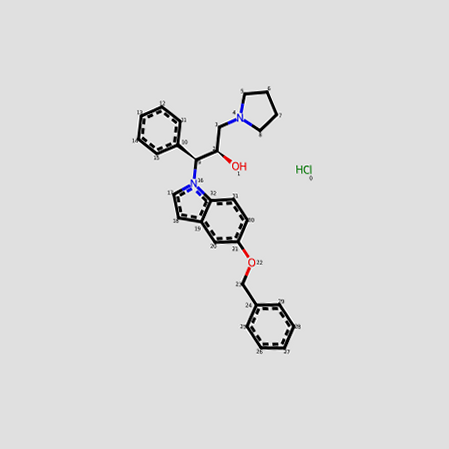 Cl.O[C@H](CN1CCCC1)[C@H](c1ccccc1)n1ccc2cc(OCc3ccccc3)ccc21